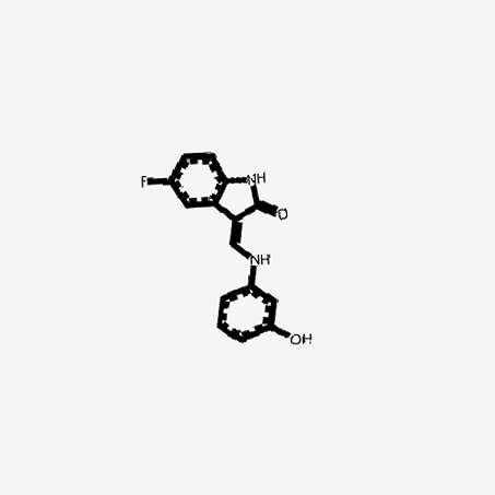 O=C1Nc2ccc(F)cc2C1=CNc1cccc(O)c1